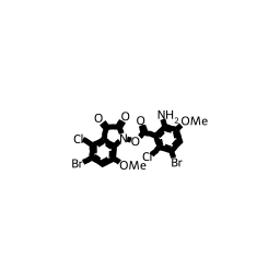 COc1cc(Br)c(Cl)c(C(=O)ON2C(=O)C(=O)c3c(Cl)c(Br)cc(OC)c32)c1N